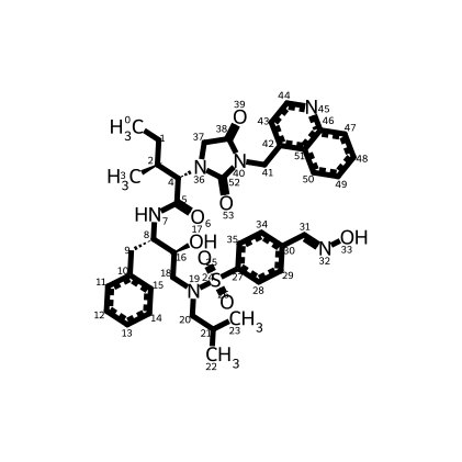 CC[C@H](C)[C@@H](C(=O)N[C@@H](Cc1ccccc1)[C@@H](O)CN(CC(C)C)S(=O)(=O)c1ccc(C=NO)cc1)N1CC(=O)N(Cc2ccnc3ccccc23)C1=O